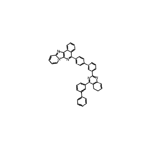 C1=Cc2nc(-c3cccc(-c4ccc(-c5nc6c(nc7ccccn76)c6ccccc56)cc4)c3)nc(-c3cccc(-c4ccccc4)c3)c2CC1